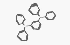 [c]1ccc(N(c2ccccc2)c2ccccc2)cc1N(c1ccccc1)c1ccccc1